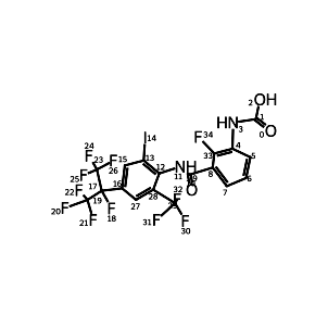 O=C(O)Nc1cccc(C(=O)Nc2c(I)cc(C(F)(C(F)(F)F)C(F)(F)F)cc2C(F)(F)F)c1F